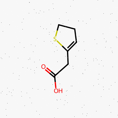 O=C(O)CC1=CCCS1